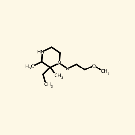 CCC1(C)C(C)NCCN1[N]CCOC